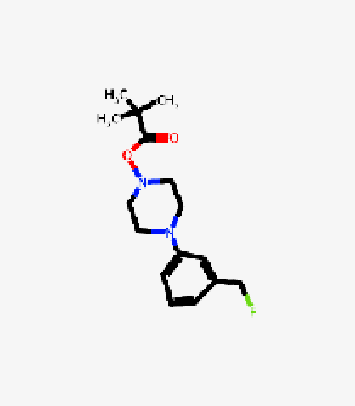 CC(C)(C)C(=O)ON1CCN(c2cccc(CF)c2)CC1